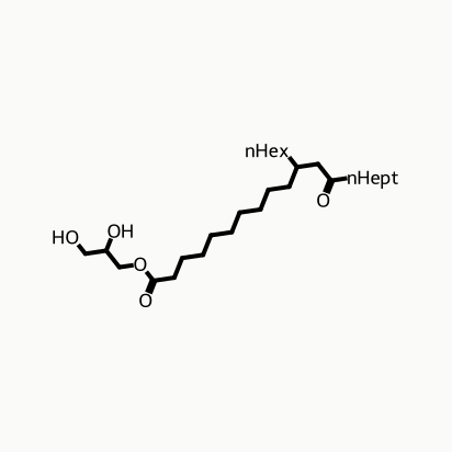 CCCCCCCC(=O)CC(CCCCCC)CCCCCCCCCC(=O)OCC(O)CO